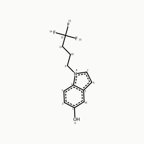 Oc1ccc2c(ccn2CCCC(F)(F)F)c1